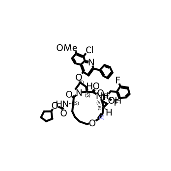 COc1ccc2c(O[C@@H]3C[C@H]4C(=O)N[C@]5(P(=O)(O)Cc6c(F)cccc6F)C[C@H]5/C=C\OCCCC[C@H](NC(=O)OC5CCCC5)C(=O)N4C3)cc(-c3ccccc3)nc2c1Cl